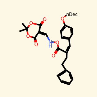 CCCCCCCCCCOc1ccc(C=C(CCc2ccccc2)C(=O)ONC=C2C(=O)OC(C)(C)OC2=O)cc1